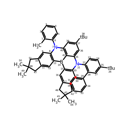 Cc1ccccc1N1c2cc3c(cc2B2c4cc5c(cc4N(c4ccc(C(C)(C)C)cc4-c4ccccc4)c4cc(C(C)(C)C)cc1c42)CC(C)(C)C5)CC(C)(C)C3